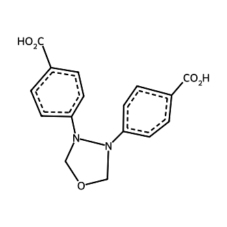 O=C(O)c1ccc(N2COCN2c2ccc(C(=O)O)cc2)cc1